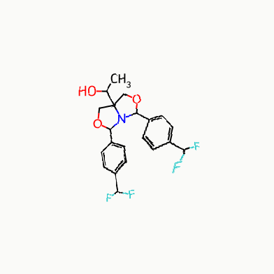 CC(O)C12COC(c3ccc(C(F)F)cc3)N1C(c1ccc(C(F)F)cc1)OC2